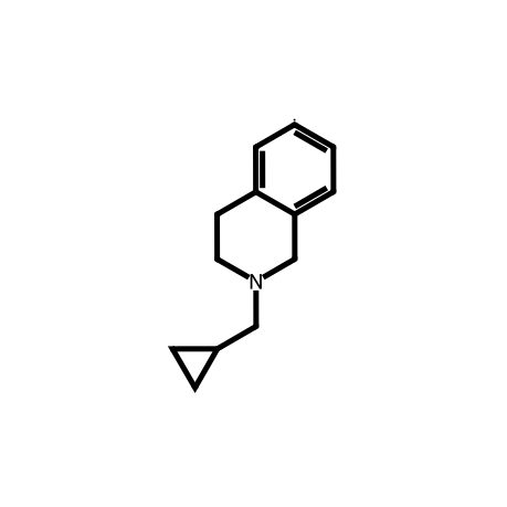 [c]1ccc2c(c1)CCN(CC1CC1)C2